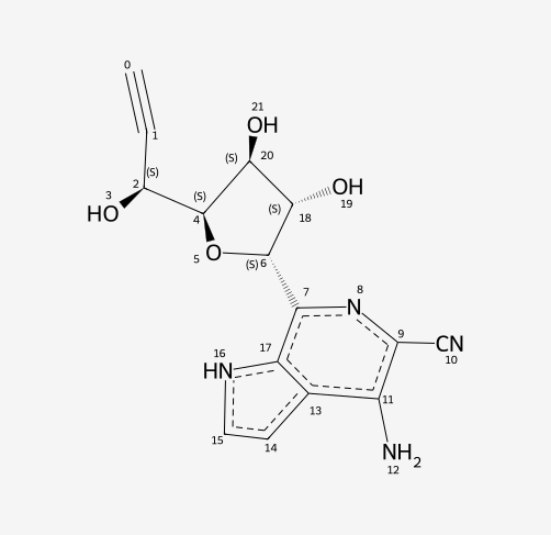 C#C[C@H](O)[C@@H]1O[C@@H](c2nc(C#N)c(N)c3cc[nH]c23)[C@@H](O)[C@@H]1O